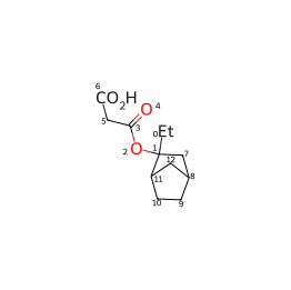 CCC1(OC(=O)CC(=O)O)CC2CCC1C2